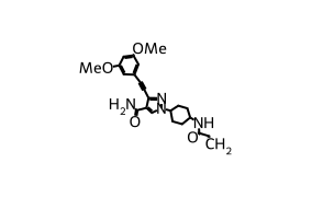 C=CC(=O)NC1CCC(n2cc(C(N)=O)c(C#Cc3cc(OC)cc(OC)c3)n2)CC1